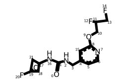 O=C(NCc1ccnc(OCC(F)CF)c1)NC12CC(F)(C1)C2